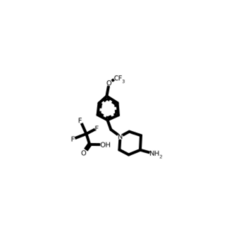 NC1CCN(Cc2ccc(OC(F)(F)F)cc2)CC1.O=C(O)C(F)(F)F